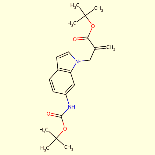 C=C(Cn1ccc2ccc(NC(=O)OC(C)(C)C)cc21)C(=O)OC(C)(C)C